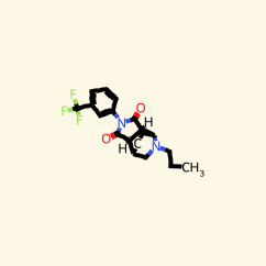 CCCN1CC2CCC1[C@H]1C(=O)N(c3cccc(C(F)(F)F)c3)C(=O)[C@@H]21